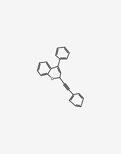 C(#CC1C=C(c2ccccc2)c2ccccc2O1)c1ccccc1